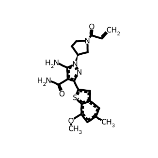 C=CC(=O)N1CC[C@H](n2nc(-c3cc4cc(C)cc(OC)c4s3)c(C(N)=O)c2N)C1